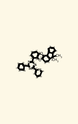 CC1(C)c2ccccc2-c2c1ccc1c2Oc2cccc(-c3nc(-c4ccccc4)nc(-c4ccccn4)n3)c2O1